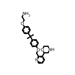 CC(C)(c1ccc(OCCN)cc1)c1ccc(OCc2ncccc2C2CNCCO2)cc1